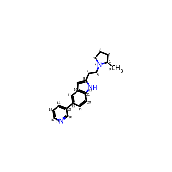 C[C@@H]1CCCN1CCc1cc2cc(-c3cccnc3)ccc2[nH]1